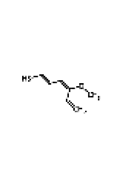 C=C/C(=C\C=C\S)OC